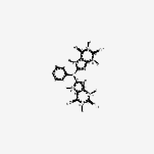 Cn1c(=O)c2c(nc(N(c3ccccc3)c3nc4c(c(=O)n(C)c(=O)n4C)n3C)n2C)n(C)c1=O